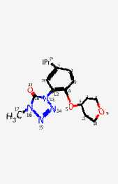 CC(C)c1ccc(OC2CCOCC2)c(-n2nnn(C)c2=O)c1